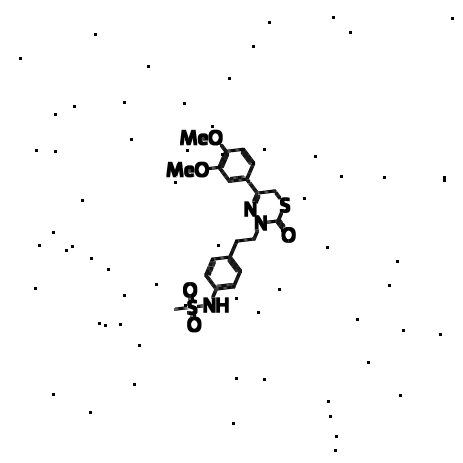 COc1ccc(C2=NN(CCc3ccc(NS(C)(=O)=O)cc3)C(=O)SC2)cc1OC